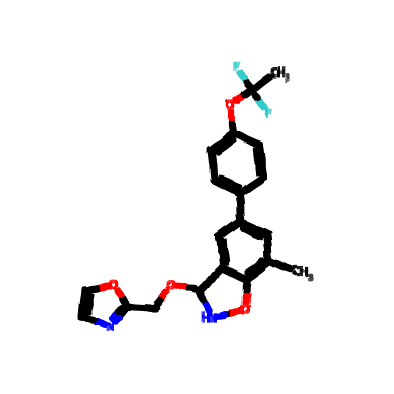 Cc1cc(-c2ccc(OC(C)(F)F)cc2)cc2c1ONC2OCc1ncco1